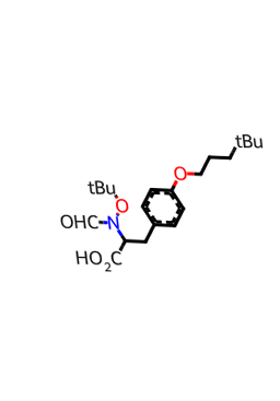 CC(C)(C)CCCOc1ccc(CC(C(=O)O)N(C=O)OC(C)(C)C)cc1